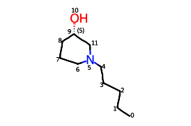 CCCCCN1CCC[C@H](O)C1